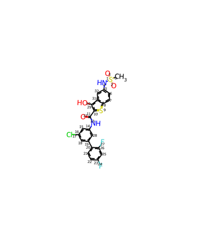 CS(=O)(=O)Nc1ccc2sc(C(=O)Nc3cc(Cl)cc(-c4ccc(F)cc4F)c3)c(O)c2c1